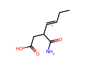 CC/C=C/C(CC(=O)O)C(N)=O